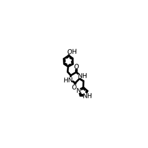 O=C1NC(Cc2c[nH]cn2)C(=O)NC1Cc1ccc(O)cc1